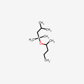 [CH2]CCC(C)O[Si](C)(C)CC(C)C